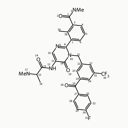 CNC(=O)c1cccc(-c2ncc(NC(=O)C(C)NC)c(=O)n2Cc2cc(C(=O)c3ccc(F)cc3)cc(C(F)(F)F)c2)c1C